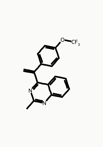 C=C(c1ccc(OC(F)(F)F)cc1)c1nc(C)nc2ccccc12